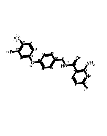 Nc1nc(F)ccc1C(=O)NCc1ccc(Oc2ccc(C(F)(F)F)c(F)c2)cc1